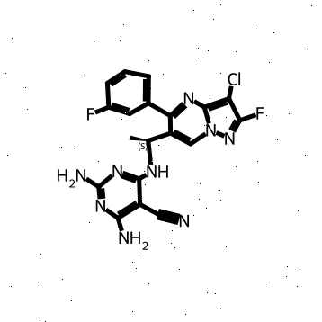 C[C@H](Nc1nc(N)nc(N)c1C#N)c1cn2nc(F)c(Cl)c2nc1-c1cccc(F)c1